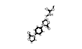 COC(=O)NC[C@H]1CN(c2ccc(N3CCOC3=O)cc2)C(=O)O1